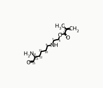 C=C(C)C(=O)OCCNCCCC[C@H](N)C=O